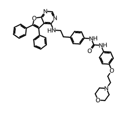 O=C(Nc1ccc(CCNc2ncnc3oc(-c4ccccc4)c(-c4ccccc4)c23)cc1)Nc1ccc(OCCN2CCOCC2)cc1